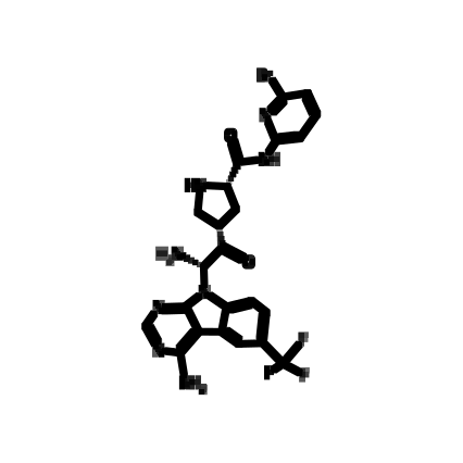 Nc1ncnc2c1c1cc(C(F)(F)F)ccc1n2[C@H](N)C(=O)[C@@H]1CN[C@H](C(=O)Nc2cccc(Br)n2)C1